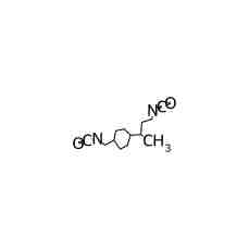 CC(CCN=C=O)C1CCC(CN=C=O)CC1